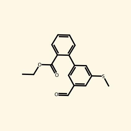 CCOC(=O)c1ccccc1-c1cc(C=O)cc(SC)c1